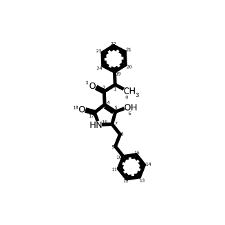 CC(C(=O)C1=C(O)C(CCc2ccccc2)NC1=O)c1ccccc1